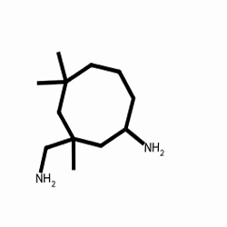 CC1(C)CCCC(N)CC(C)(CN)C1